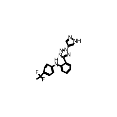 CC(F)(F)c1ccc(Nc2ccccc2-c2nnn(-c3cn[nH]c3)n2)cc1